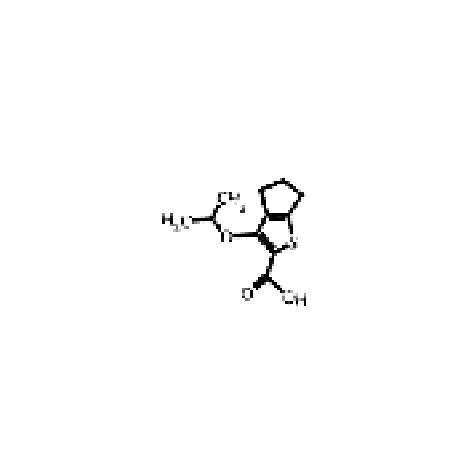 CC(C)Oc1c(C(=O)O)sc2c1CCC2